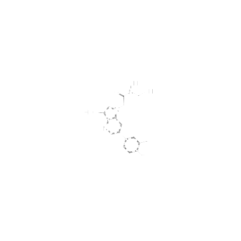 CCN(C)C(=O)Cn1cc(C)c2ncc(-c3ccc(F)c(F)c3)cc21